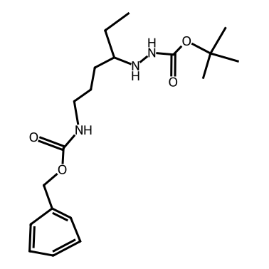 CCC(CCCNC(=O)OCc1ccccc1)NNC(=O)OC(C)(C)C